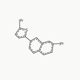 CC(C)c1ccc2ccc(-c3ccc(C(C)C)s3)cc2c1